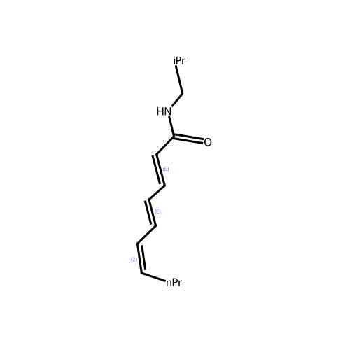 CCC\C=C/C=C/C=C/C(=O)NCC(C)C